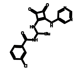 CC(C)(C)C(NC(=O)c1cccc(Cl)c1)Nc1c(Nc2cncnc2)c(=O)c1=O